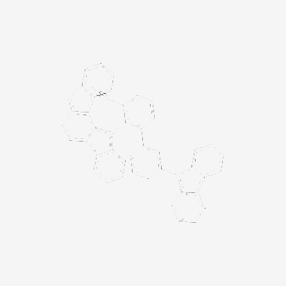 N#Cc1cccc(-c2cccc(-n3c4ccccc4c4ccccc43)c2)c1-n1c2ccccc2c2ccc3oc4ccccc4c3c21